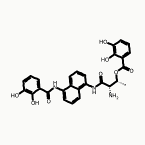 C[C@@H](OC(=O)c1cccc(O)c1O)[C@H](N)C(=O)Nc1cccc2c(NC(=O)c3cccc(O)c3O)cccc12